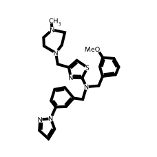 COc1cccc(CN(Cc2cccc(-n3cccn3)c2)c2nc(CN3CCN(C)CC3)cs2)c1